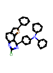 Clc1nc(-c2ccc(N(c3ccccc3)c3ccccc3)cc2)c2c(ccc3cc(-c4ccccc4)sc32)n1